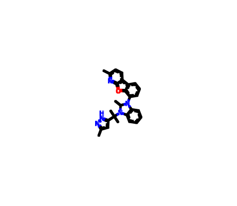 Cc1cc(C(C)(C)N2c3ccccc3N(c3cccc4c3oc3nc(C)ccc34)C2C)[nH]n1